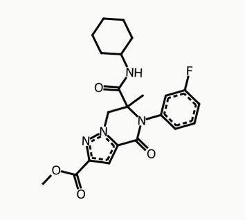 COC(=O)c1cc2n(n1)CC(C)(C(=O)NC1CCCCC1)N(c1cccc(F)c1)C2=O